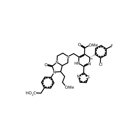 COCCC1C2CN(CC3=C(C(=O)OC)[C@H](c4ccc(F)cc4Cl)N=C(c4nccs4)N3)CCN2C(=O)N1c1ccc(CC(=O)O)cc1